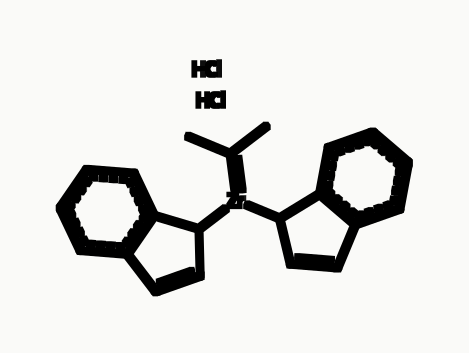 C[C](C)=[Zr]([CH]1C=Cc2ccccc21)[CH]1C=Cc2ccccc21.Cl.Cl